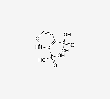 O=P(O)(O)C1=C(P(=O)(O)O)NOC=C1